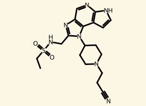 CCS(=O)(=O)NCc1nc2cnc3[nH]ccc3c2n1C1CCN(CCC#N)CC1